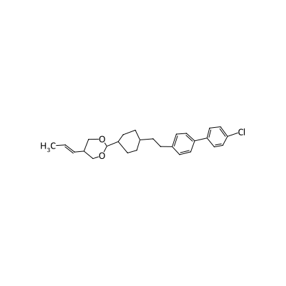 CC=CC1COC(C2CCC(CCc3ccc(-c4ccc(Cl)cc4)cc3)CC2)OC1